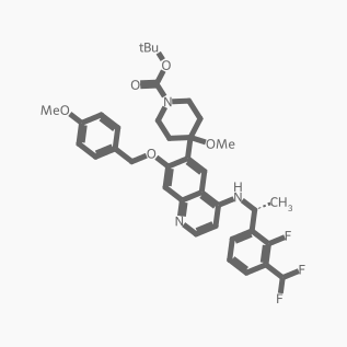 COc1ccc(COc2cc3nccc(N[C@H](C)c4cccc(C(F)F)c4F)c3cc2C2(OC)CCN(C(=O)OC(C)(C)C)CC2)cc1